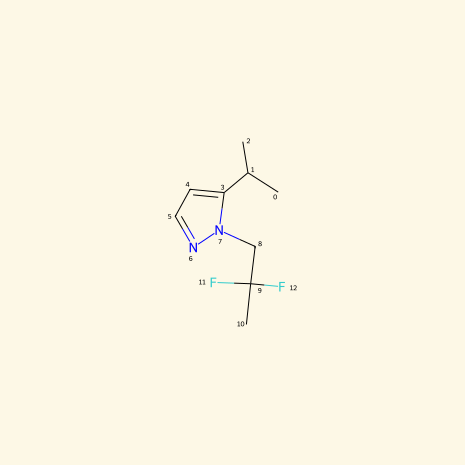 CC(C)c1ccnn1CC(C)(F)F